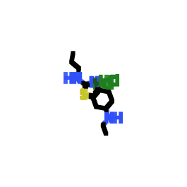 CCCNc1nc2c(s1)CC(NCC)CC2.Cl.Cl